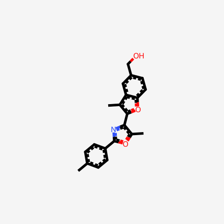 Cc1ccc(-c2nc(-c3oc4ccc(CO)cc4c3C)c(C)o2)cc1